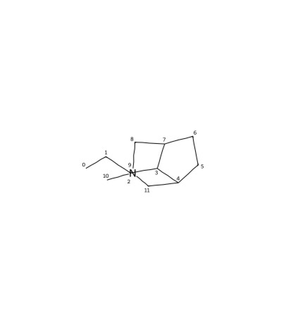 CCCC1C2CCC1CN(C)C2